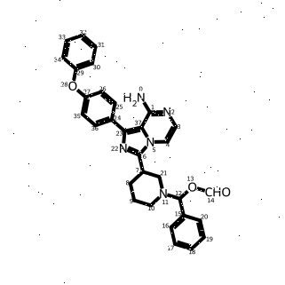 Nc1nccn2c(C3CCCN(C(OC=O)c4ccccc4)C3)nc(-c3ccc(Oc4ccccc4)cc3)c12